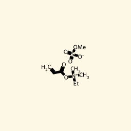 C=CC(=O)O[N+](C)(C)CC.COS(=O)(=O)[O-]